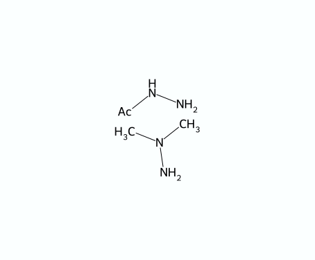 CC(=O)NN.CN(C)N